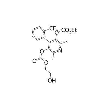 CCOC(=O)Oc1c(C)nc(C)c(OC(=O)OCCO)c1-c1ccccc1C(F)(F)F